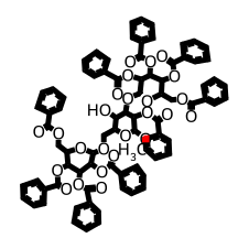 COC1OC(COC2OC(COC(=O)c3ccccc3)C(OC(=O)c3ccccc3)C(OC(=O)c3ccccc3)C2OC(=O)c2ccccc2)C(O)C(OC2OC(COC(=O)c3ccccc3)C(OC(=O)c3ccccc3)C(OC(=O)c3ccccc3)C2OC(=O)c2ccccc2)C1OC(=O)c1ccccc1